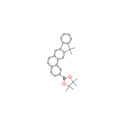 CC1(C)c2ccccc2-c2cc3ccc4ccc(B5OC(C)(C)C(C)(C)O5)cc4c3cc21